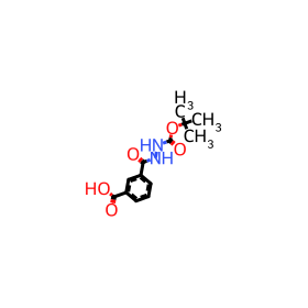 CC(C)(C)OC(=O)NNC(=O)c1cccc(C(=O)O)c1